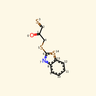 O=C([C]=S)CSc1nc2ccccc2s1